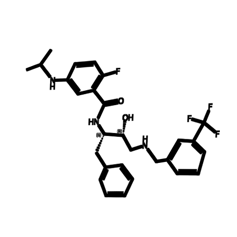 CC(C)Nc1ccc(F)c(C(=O)N[C@@H](Cc2ccccc2)[C@H](O)CNCc2cccc(C(F)(F)F)c2)c1